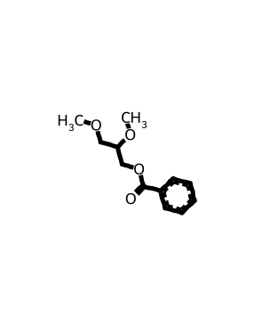 COCC(COC(=O)c1ccccc1)OC